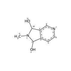 [CH2]N1C(O)c2ccncc2C1O